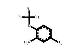 [2H]C([2H])([2H])Oc1ccc(C(F)(F)F)cc1N